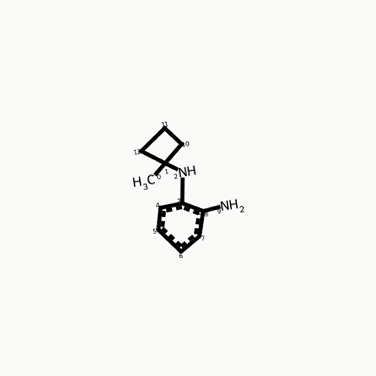 CC1(Nc2ccccc2N)CCC1